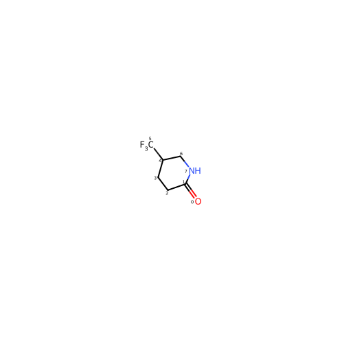 O=C1CCC(C(F)(F)F)CN1